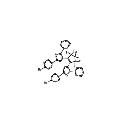 FC1(F)C(c2cc(-c3ccc(Br)cc3)sc2-c2ccccc2)=C(c2cc(-c3ccc(Br)cc3)sc2-c2ccccc2)C(F)(F)C1(F)F